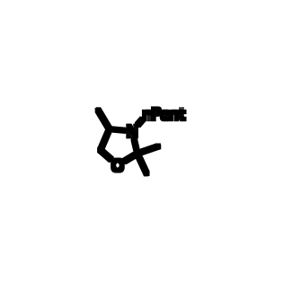 CCCCCN1C(C)COC1(C)C